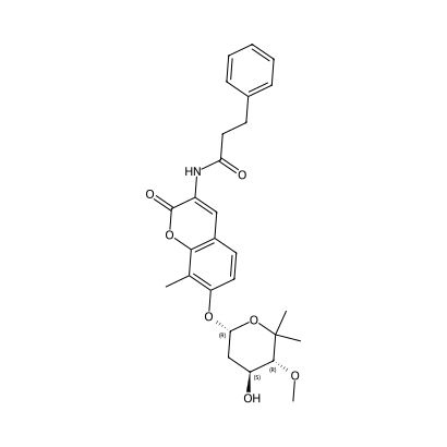 CO[C@@H]1[C@@H](O)C[C@H](Oc2ccc3cc(NC(=O)CCc4ccccc4)c(=O)oc3c2C)OC1(C)C